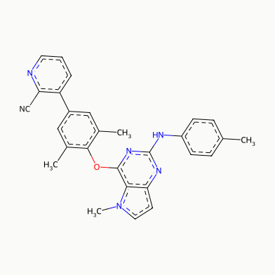 Cc1ccc(Nc2nc(Oc3c(C)cc(-c4cccnc4C#N)cc3C)c3c(ccn3C)n2)cc1